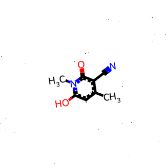 Cc1[c]c(O)n(C)c(=O)c1C#N